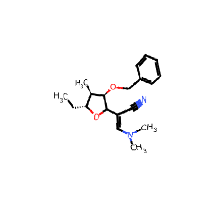 CC[C@H]1OC(/C(C#N)=C/N(C)C)[C@H](OCc2ccccc2)[C@@H]1C